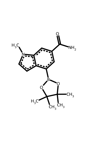 Cn1ccc2c(B3OC(C)(C)C(C)(C)O3)cc(C(N)=O)cc21